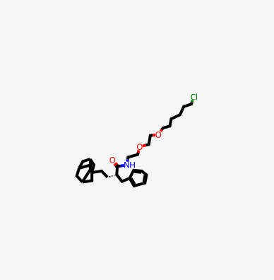 O=C(NCCOCCOCCCCCCCl)[C@@H](CCC12CC3CC(CC(C3)C1)C2)Cc1ccccc1